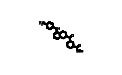 CNC(=O)N1CCCC(C(=O)N2CCc3c(cccc3Nc3ccc(C(F)(F)F)cc3)C2)C1